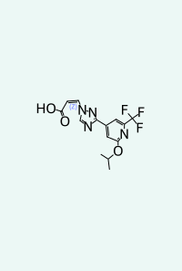 CC(C)Oc1cc(-c2ncn(/C=C\C(=O)O)n2)cc(C(F)(F)F)n1